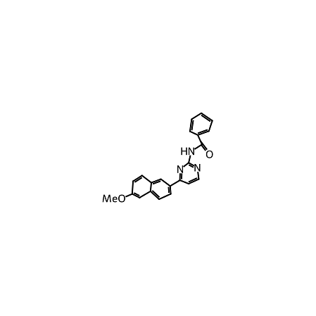 COc1ccc2cc(-c3ccnc(NC(=O)c4ccccc4)n3)ccc2c1